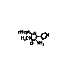 CCCCCCCc1nc(-c2ccncc2)c(N)c(=O)n1C